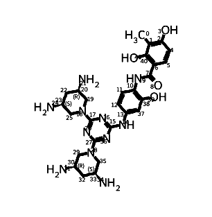 Cc1c(O)ccc(C(=O)Nc2ccc(Nc3nc(N4C[C@H](N)C[C@H](N)C4)nc(N4C[C@H](N)C[C@H](N)C4)n3)cc2O)c1O